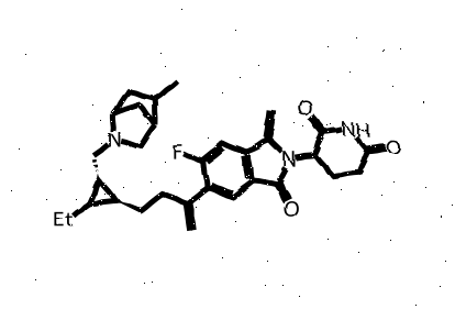 C=C(CC[C@H]1C(CC)[C@@H]1CN1CC2CC1CC2C)c1cc2c(cc1F)C(=C)N(C1CCC(=O)NC1=O)C2=O